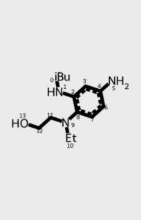 CCC(C)Nc1cc(N)ccc1N(CC)CCO